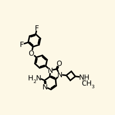 CNC1CC(n2c(=O)n(-c3ccc(Oc4ccc(F)cc4F)cc3)c3c(N)nccc32)C1